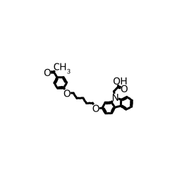 CC(=O)c1ccc(OCCCCCOc2ccc3c4ccccc4n(CC(=O)O)c3c2)cc1